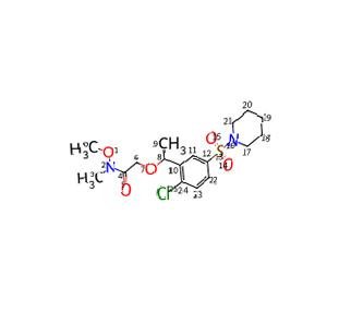 CON(C)C(=O)COC(C)c1cc(S(=O)(=O)N2CCCCC2)ccc1Cl